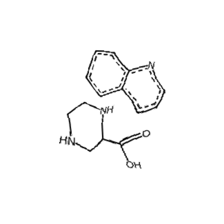 O=C(O)C1CNCCN1.c1ccc2ncccc2c1